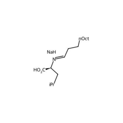 CCCCCCCCCCC=N[C@@H](CC(C)C)C(=O)O.[NaH]